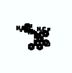 Cc1c(F)cccc1Cc1c(CNCCO[Si](C)(C)C(C)(C)C)nc2c(N=C(c3ccccc3)c3ccccc3)cc(N3CCOCC3)nn12